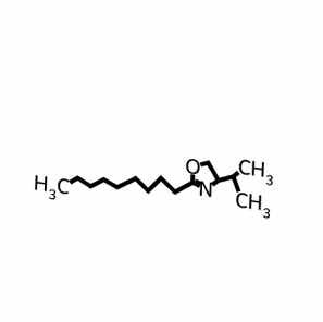 CCCCCCCCCC1=NC(C(C)C)CO1